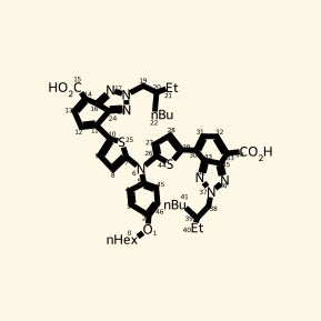 CCCCCCOc1ccc(N(c2ccc(-c3ccc(C(=O)O)c4nn(CC(CC)CCCC)nc34)s2)c2ccc(-c3ccc(C(=O)O)c4nn(CC(CC)CCCC)nc34)s2)cc1